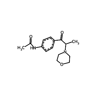 CC(=O)Nc1ccc(C(=O)C(C)N2CCOCC2)cc1